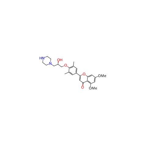 COc1cc(OC)c2c(=O)cc(-c3cc(C)c(OC[C@H](O)CN4CCNCC4)c(C)c3)oc2c1